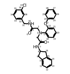 O=C(CN(CC(=O)NC1Cc2ccccc2C1)c1ccccc1Oc1ccccc1)NCc1cccc(Cl)c1